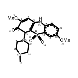 COC1=CC2=C(C(N3CCN(C)CC3)C1=O)S(=O)(=O)c1cc(OC)ccc1N2